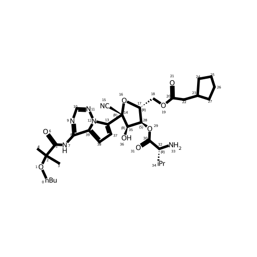 CCCCOC(C)(C)C(=O)Nc1ncnn2c([C@]3(C#N)O[C@H](COC(=O)CC4CCCC4)[C@@H](OC(=O)[C@H](N)C(C)C)[C@H]3O)ccc12